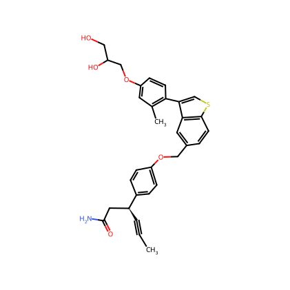 CC#C[C@@H](CC(N)=O)c1ccc(OCc2ccc3scc(-c4ccc(OCC(O)CO)cc4C)c3c2)cc1